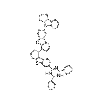 c1ccc(C2N=C(c3ccc4c(c3)sc3cccc(-c5cccc6c5oc5ccc(-n7c8ccccc8c8ccccc87)cc56)c34)NC(c3ccccc3)N2)cc1